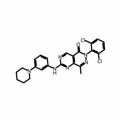 Cc1nn(-c2c(Cl)cccc2Cl)c(=O)c2cnc(Nc3cccc(N4CCCCC4)c3)nc12